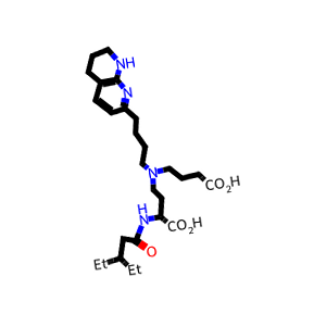 CCC(CC)CC(=O)NC(CCN(CCCCc1ccc2c(n1)NCCC2)CCCC(=O)O)C(=O)O